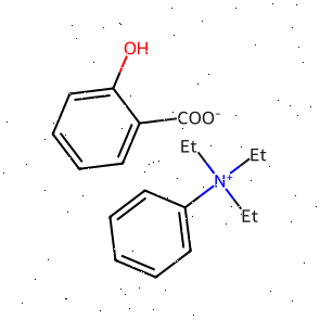 CC[N+](CC)(CC)c1ccccc1.O=C([O-])c1ccccc1O